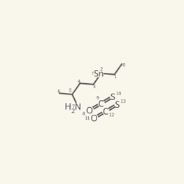 C[CH2][Sn][CH2]CC(C)N.O=C=S.O=C=S